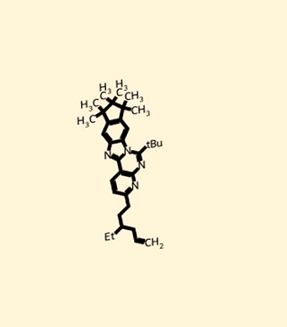 C=CCC(CC)CCc1ccc2c(n1)nc(C(C)(C)C)n1c3cc4c(cc3nc21)C(C)(C)C(C)(C)C4(C)C